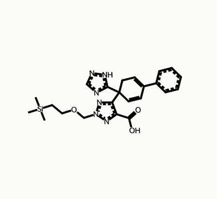 C[Si](C)(C)CCOCn1nc(C(=O)O)c(C2(c3ncn[nH]3)C=CC(c3ccccc3)=CC2)n1